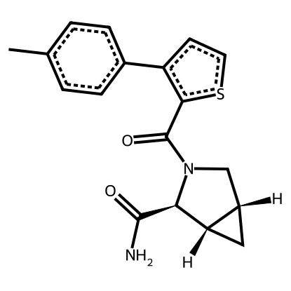 Cc1ccc(-c2ccsc2C(=O)N2C[C@@H]3C[C@@H]3[C@H]2C(N)=O)cc1